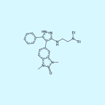 CCN(CC)CCNc1n[nH]c(-c2ccccc2)c1-c1ccc2c(c1)n(C)c(=O)n2C